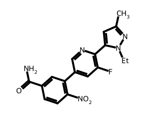 CCn1nc(C)cc1-c1ncc(-c2cc(C(N)=O)ccc2[N+](=O)[O-])cc1F